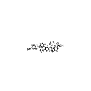 COCCn1c(Cc2ccc(-c3cccc(OCc4ccc(C#N)cc4F)n3)c(C)c2)nc2ccc(C(=O)O)cc21